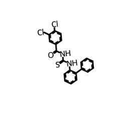 O=C(NC(=S)Nc1ccccc1-c1ccccc1)c1ccc(Cl)c(Cl)c1